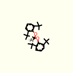 C[C]([Al])(Oc1c(C(C)(C)C)cccc1C(C)(C)C)Oc1c(C(C)(C)C)cccc1C(C)(C)C